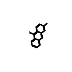 Cc1ccc2c(I)c3ccccc3cc2c1